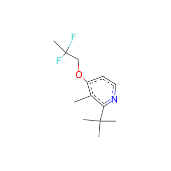 Cc1c(OCC(C)(F)F)ccnc1C(C)(C)C